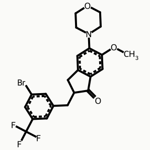 COc1cc2c(cc1N1CCOCC1)CC(Cc1cc(Br)cc(C(F)(F)F)c1)C2=O